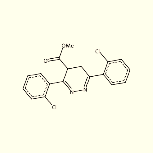 COC(=O)C1CC(c2ccccc2Cl)=NN=C1c1ccccc1Cl